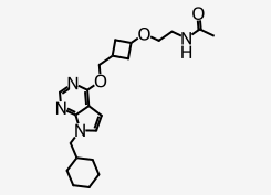 CC(=O)NCCOC1CC(COc2ncnc3c2ccn3CC2CCCCC2)C1